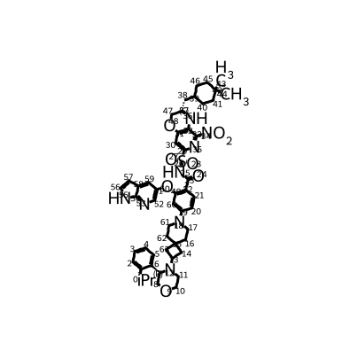 CC(C)c1ccccc1[C@@H]1COCCN1C1CC2(CCN(c3ccc(C(=O)NS(=O)(=O)c4cc5c(c([N+](=O)[O-])n4)N[C@@H](CC4CCC(C)(C)CC4)CO5)c(Oc4cnc5[nH]ccc5c4)c3)CC2)C1